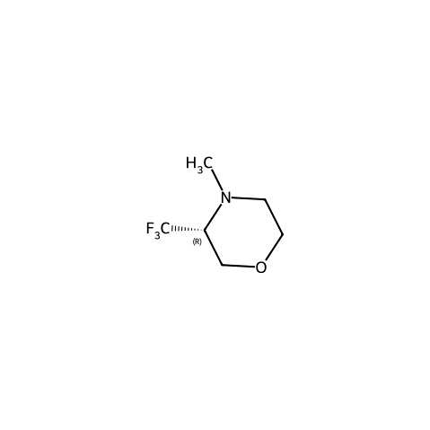 CN1CCOC[C@@H]1C(F)(F)F